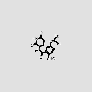 CCC(CC)Oc1ccc(C=O)c(C(=O)N(C)C2CCC(=O)NC2=O)c1